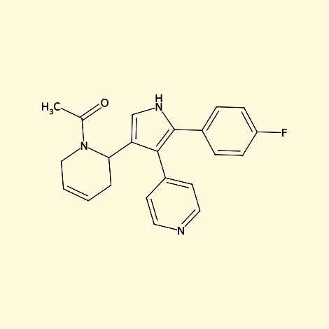 CC(=O)N1CC=CCC1c1c[nH]c(-c2ccc(F)cc2)c1-c1ccncc1